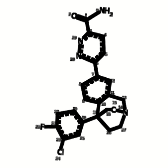 NC(=O)c1ccc(-c2ccc3c(c2)CN2CCC3(c3ccc(F)c(Cl)c3)CC2)nn1